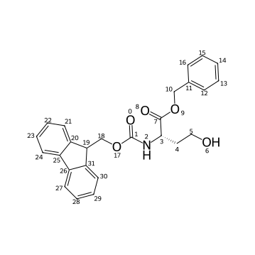 O=C(N[C@@H](CCO)C(=O)OCc1ccccc1)OCC1c2ccccc2-c2ccccc21